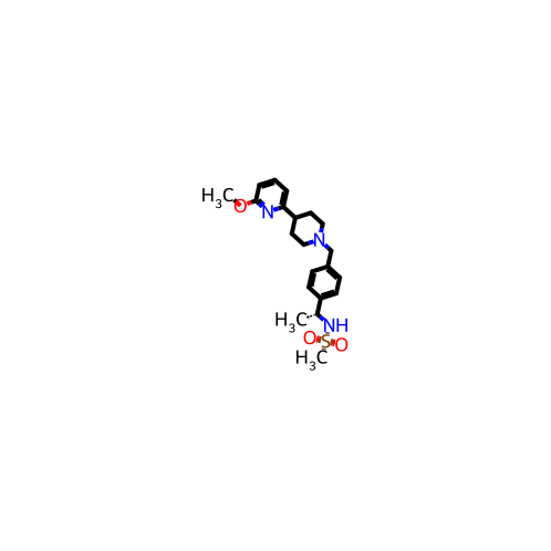 COc1cccc(C2CCN(Cc3ccc([C@@H](C)NS(C)(=O)=O)cc3)CC2)n1